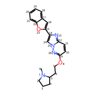 CN1CCCC1CCOc1ccc2nc(-c3cc4ccccc4o3)cn2n1